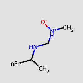 CCCC(C)NC[NH+](C)[O-]